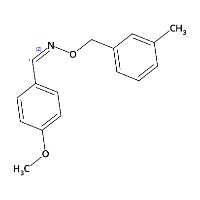 COc1ccc(/[C]=N\OCc2cccc(C)c2)cc1